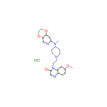 COc1ccc2ncc(=O)n(CCN3CCC(N(C)c4cc5c(cn4)OCCO5)CC3)c2c1.Cl